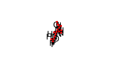 C=CC(=O)N1CCC[C@@H](n2nc(-c3cccc(CNC(=O)c4cccc(C(F)(F)F)c4)c3)c3c(N)ncnc32)C1